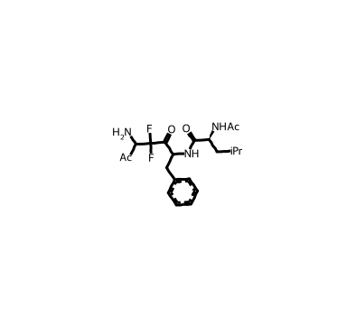 CC(=O)N[C@@H](CC(C)C)C(=O)NC(Cc1ccccc1)C(=O)C(F)(F)C(N)C(C)=O